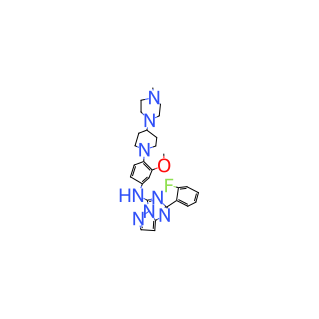 COc1cc(Nc2nc(-c3ccccc3F)nc3ccnn23)ccc1N1CCC(N2CCN(C)CC2)CC1